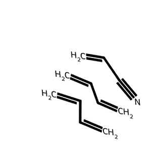 C=CC#N.C=CC=C.C=CC=C